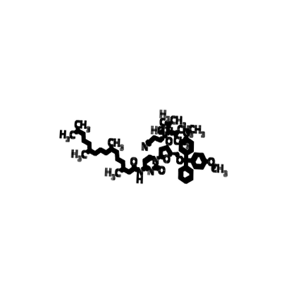 COc1ccc(C(OC[C@H]2O[C@@H](n3ccc(NC(=O)CC(C)CCCC(C)CCCC(C)CCCC(C)C)nc3=O)C[C@@H]2O[PH](O)(CCC#N)N(C(C)C)C(C)C)(c2ccccc2)c2ccc(OC)cc2)cc1